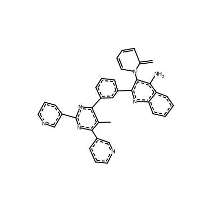 C=C1C=CC=CN1c1c(-c2cccc(-c3nc(-c4cccnc4)nc(-c4cccnc4)c3C)c2)nc2ccccc2c1N